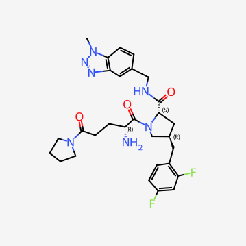 Cn1nnc2cc(CNC(=O)[C@@H]3C[C@@H](Cc4ccc(F)cc4F)CN3C(=O)[C@H](N)CCC(=O)N3CCCC3)ccc21